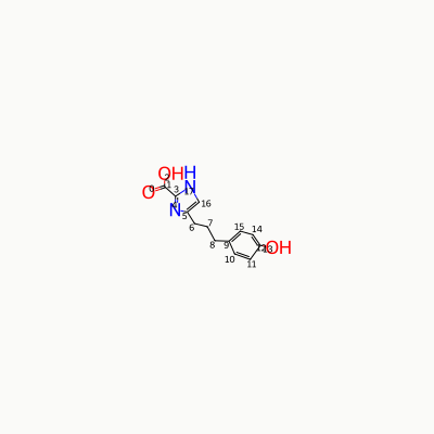 O=C(O)c1nc(CCCc2ccc(O)cc2)c[nH]1